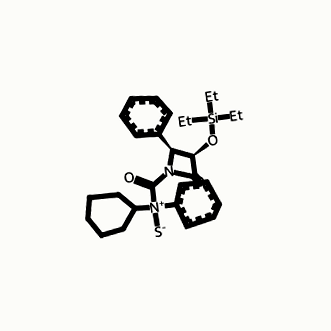 CC[Si](CC)(CC)O[C@H]1C(=O)N(C(=O)[N+]([S-])(c2ccccc2)C2CCCCC2)[C@H]1c1ccccc1